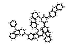 c1ccc(-n2c3ccccc3c3cc(-c4ccc5oc6cccc(-c7ccc8oc9cccc(-c%10nc(-c%11ccc%12c(c%11)sc%11ccccc%11%12)nc(-c%11ccc%12c(c%11)sc%11ccccc%11%12)n%10)c9c8c7)c6c5c4)ccc32)cc1